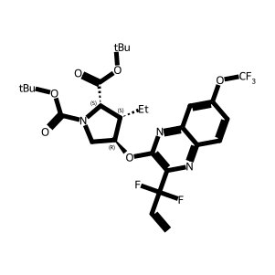 C=CC(F)(F)c1nc2ccc(OC(F)(F)F)cc2nc1O[C@H]1CN(C(=O)OC(C)(C)C)[C@H](C(=O)OC(C)(C)C)[C@@H]1CC